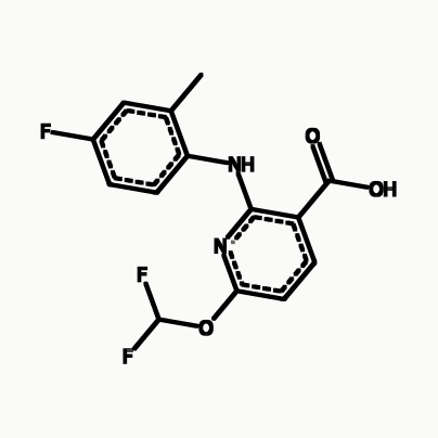 Cc1cc(F)ccc1Nc1nc(OC(F)F)ccc1C(=O)O